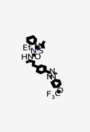 CCc1ccccc1-n1c(C)cs/c1=N\C(=O)NC(C)CCc1ccc(-c2ncn(-c3ccc(OC(F)(F)F)cc3)n2)cc1